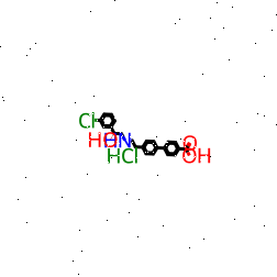 Cl.O=C(O)c1ccc(-c2ccc(CCNC[C@H](O)c3cccc(Cl)c3)cc2)cc1